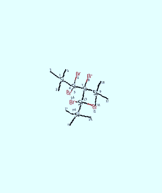 C[Si](C)(C)[Si](Br)(Br)[Si](Br)([Si](C)(C)C)[Si](Br)(Br)[Si](C)(C)C